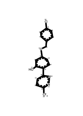 Oc1cc(OCc2ccc(Cl)cc2)ccc1-c1ccc(C(F)(F)F)nn1